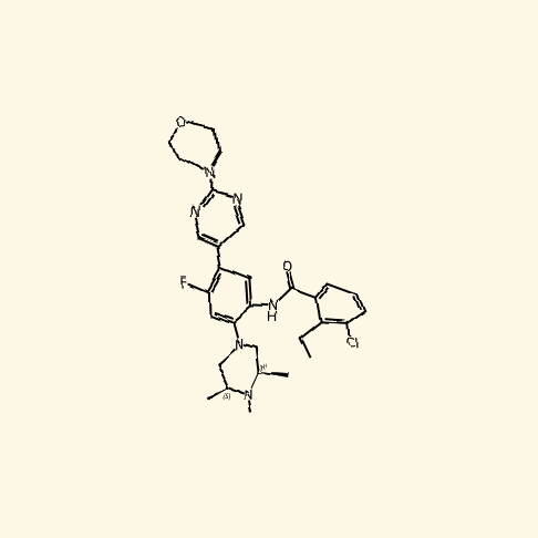 CCc1c(Cl)cccc1C(=O)Nc1cc(-c2cnc(N3CCOCC3)nc2)c(F)cc1N1C[C@@H](C)N(C)[C@@H](C)C1